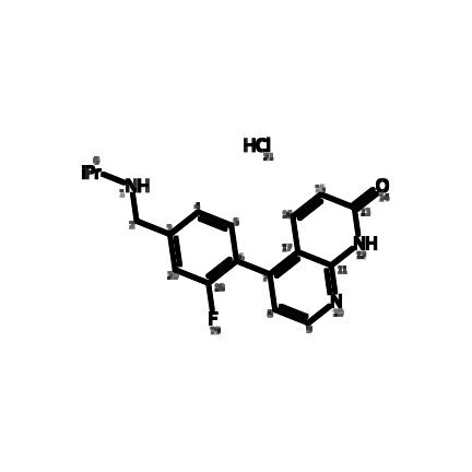 CC(C)NCc1ccc(-c2ccnc3[nH]c(=O)ccc23)c(F)c1.Cl